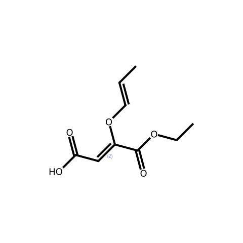 CC=CO/C(=C\C(=O)O)C(=O)OCC